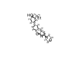 CCC(C)(C)c1cc(-c2cccc(C=C3SC(N4CCOCC4)=NC3=O)c2)ccc1O